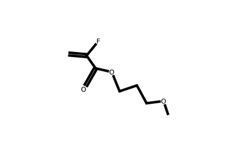 C=C(F)C(=O)OCCCOC